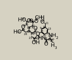 COC(=O)[C@H]1O[C@@H](Oc2cc(CO)ccc2NC(=O)[C@H](C)N)[C@H](CC(=O)O)[C@@H](CC(=O)O)[C@@H]1CC(=O)O